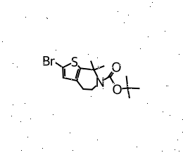 CC(C)(C)OC(=O)N1CCc2cc(Br)sc2C1(C)C